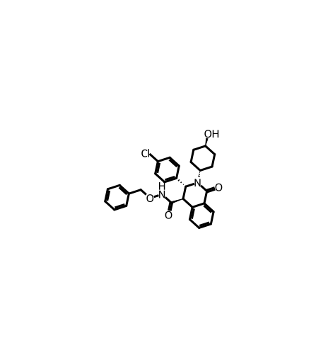 O=C(NOCc1ccccc1)[C@@H]1c2ccccc2C(=O)N([C@H]2CC[C@H](O)CC2)[C@H]1c1ccc(Cl)cc1